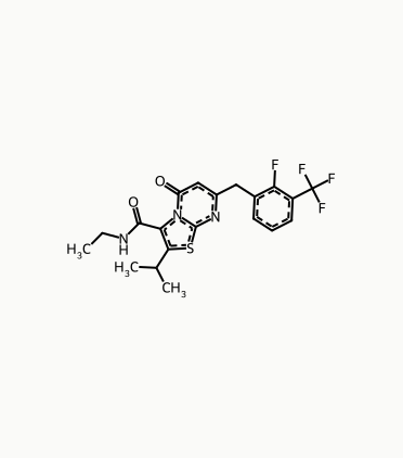 CCNC(=O)c1c(C(C)C)sc2nc(Cc3cccc(C(F)(F)F)c3F)cc(=O)n12